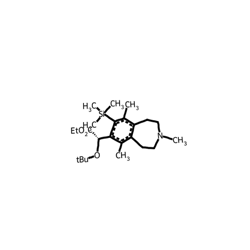 CCOC(=O)[C@@H](OC(C)(C)C)c1c(C)c2c(c(C)c1[Si](C)(C)C)CCN(C)CC2